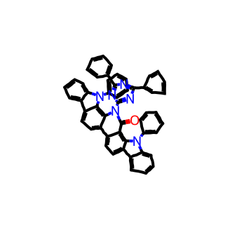 O=c1c2c(ccc3c4ccccc4n(-c4ccccc4)c32)c2ccc3c4ccccc4n(-c4ccccc4)c3c2n1-c1nc(-c2ccccc2)nc(-c2ccccc2)n1